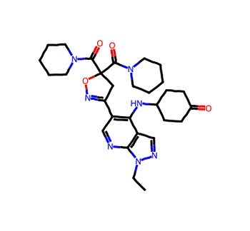 CCn1ncc2c(NC3CCC(=O)CC3)c(C3=NOC(C(=O)N4CCCCC4)(C(=O)N4CCCCC4)C3)cnc21